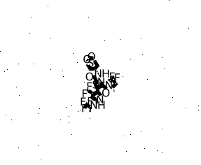 C[C@H](Nc1cc(C(F)F)c(-c2sc(C(=O)NC3CCS(=O)(=O)CC3)nc2C(=O)N2CC(F)(F)C[C@@H]2C)cn1)C(F)(F)F